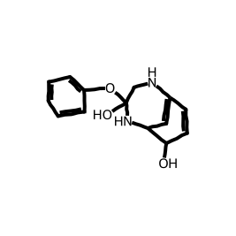 OC1C=CC2=CC1NC(O)(Oc1ccccc1)CN2